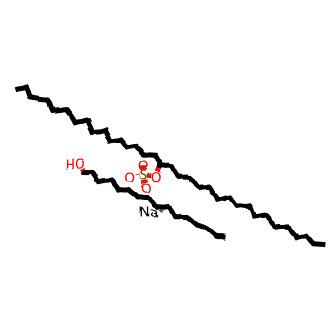 CCCCCCCCCCCCCCCCCC(CCCCCCCCCCCCCCCC)OS(=O)(=O)[O-].CCCCCCCCCCCCCCCCO.[Na+]